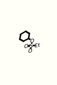 CCS(=O)(=O)OC1CC[CH]CC1